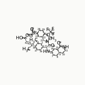 Cc1cc(C(Nc2ccc3cc[nH]c(=O)c3c2)C(=O)N(C)Cc2cc([N+](=O)[O-])ccc2OC(F)(F)F)ccc1[C@@H](C)CCC(=O)O